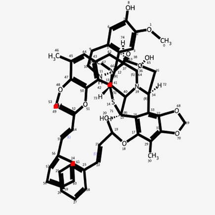 COc1cc2c(cc1O)CCN[C@]21CS[C@@H]2c3c(OC(O)/C=C/c4ccccc4)c(C)c4c(c3[C@H](COC1=O)N1C2[C@@H]2c3c(cc(C)c(OC)c3OC(=O)/C=C/c3ccccc3)C[C@@H]([C@@H]1O)N2C)OCO4